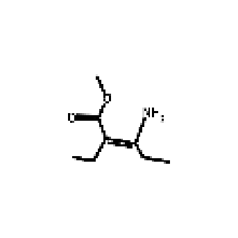 CC/C(N)=C(\CC)C(=O)OC